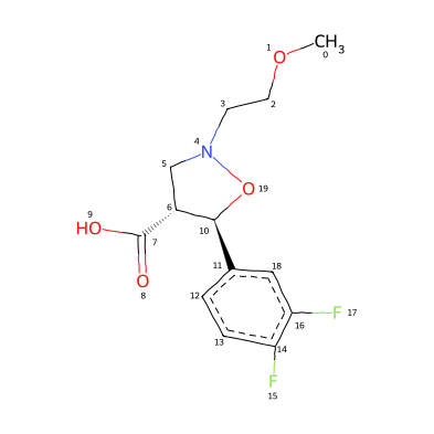 COCCN1C[C@@H](C(=O)O)[C@H](c2ccc(F)c(F)c2)O1